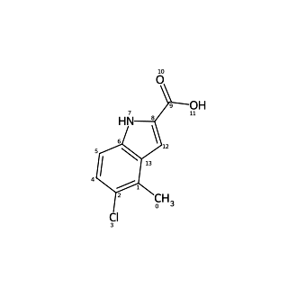 Cc1c(Cl)ccc2[nH]c(C(=O)O)cc12